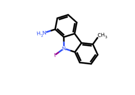 Cc1cccc2c1c1cccc(N)c1n2I